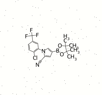 CC1(C)OB(c2cc(C#N)n(-c3cc(C(F)(F)F)ccc3Cl)c2)OC1(C)C